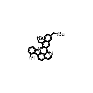 CC(C)c1cccc2c1c1ccc3ccnc4c5cc6cc(CC(C)(C)C)ccc6c(CC(C)(C)C)c5n2c1c34